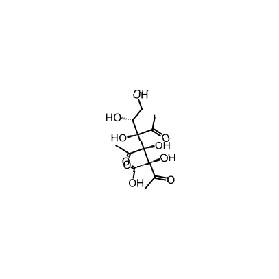 CC(=O)[C@](O)(C(=O)O)[C@](O)(C(C)=O)[C@@](O)(C(C)=O)[C@H](O)CO